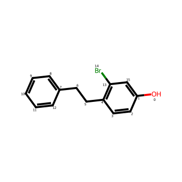 Oc1ccc(CCc2ccccc2)c(Br)c1